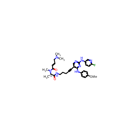 COc1ccc(Nc2nc(Nc3ccc(F)nc3)ncc2C#CCCCNC(=O)[C@H](C)N(C)C(=O)C=CCN(C)C)cc1